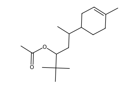 CC(=O)OC(CC(C)C1CC=C(C)CC1)C(C)(C)C